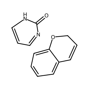 C1=Cc2ccccc2OC1.O=c1nccc[nH]1